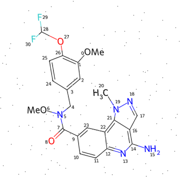 COc1cc(CN(OC)C(=O)c2ccc3nc(N)c4cnn(C)c4c3c2)ccc1OC(F)F